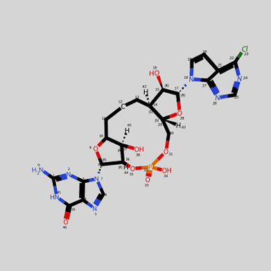 Nc1nc2c(ncn2[C@@H]2OC3CCC[C@H]4[C@@H](O)[C@H](n5ccc6c(Cl)ncnc65)O[C@@H]4COP(=O)(O)O[C@@H]2[C@@H]3O)c(=O)[nH]1